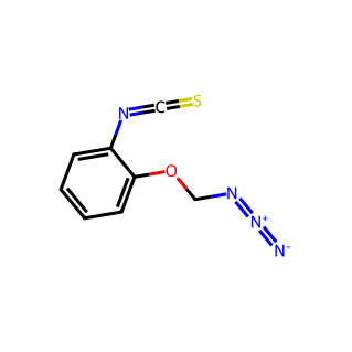 [N-]=[N+]=NCOc1ccccc1N=C=S